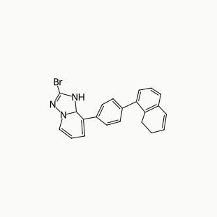 BrC1=NN2C=CC=C(c3ccc(-c4cccc5c4CCC=C5)cc3)C2N1